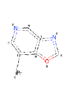 CC(C)c1cncc2ncoc12